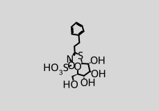 O=S(=O)(O)O/N=C(/CCc1ccccc1)S[C@@H]1O[C@H](CO)[C@@H](O)[C@H](O)[C@H]1O